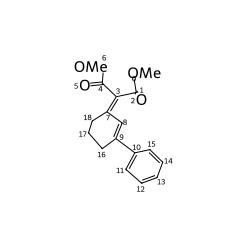 COC(=O)C(C(=O)OC)=C1C=C(c2ccccc2)CCC1